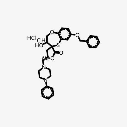 COC(=O)C1(CCCN2CCN(c3ccccc3)CC2)Sc2cc(OCc3ccccc3)ccc2OCC1O.Cl.Cl